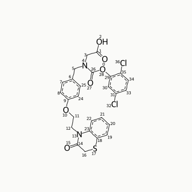 O=C(O)CN(Cc1ccc(OCCN2C(=O)CSc3ccccc32)cc1)C(=O)Oc1cc(Cl)ccc1Cl